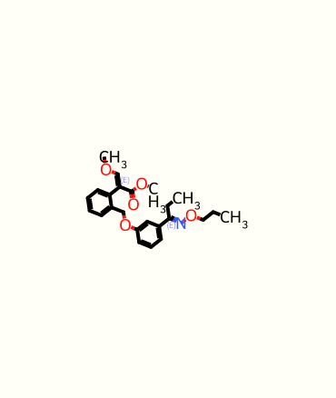 CCCO/N=C(\CC)c1cccc(OCc2ccccc2/C(=C\OC)C(=O)OC)c1